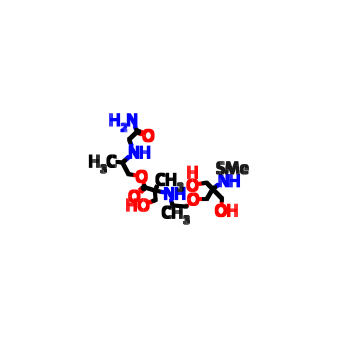 CSNC(CO)(CO)COCC(C)NC(C)(CO)C(=O)OCC(C)NCC(N)=O